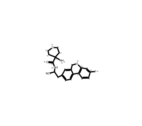 N#CC(Cc1ccc2c(c1)COc1cc(F)ccc1-2)NC(=O)C1(N)CCOCC1